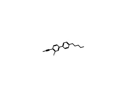 CC#Cc1ccc(-c2ccc(CCCCC)cc2)cc1F